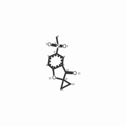 CS(=O)(=O)c1ccc2c(c1)C(=O)C1(CC1)O2